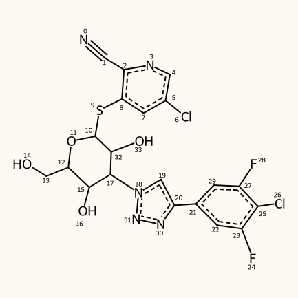 N#Cc1ncc(Cl)cc1SC1OC(CO)C(O)C(n2cc(-c3cc(F)c(Cl)c(F)c3)nn2)C1O